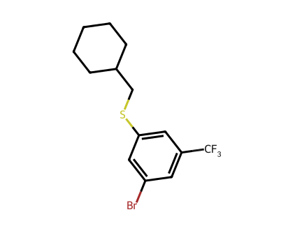 FC(F)(F)c1cc(Br)cc(SCC2CCCCC2)c1